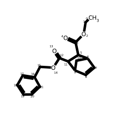 CCOC(=O)C1C2C=CC(C2)C1C(=O)OCc1ccccc1